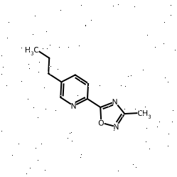 CCCc1ccc(-c2nc(C)no2)nc1